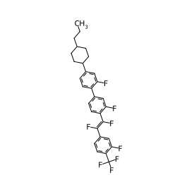 CCCC1CCC(c2ccc(-c3ccc(/C(F)=C(\F)c4ccc(C(F)(F)F)c(F)c4)c(F)c3)c(F)c2)CC1